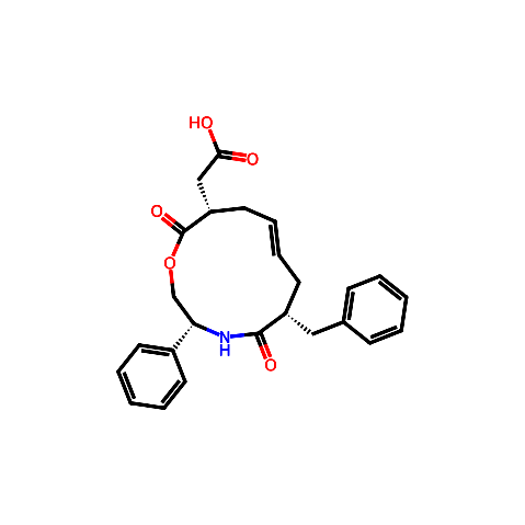 O=C(O)C[C@@H]1C/C=C/C[C@H](Cc2ccccc2)C(=O)N[C@H](c2ccccc2)COC1=O